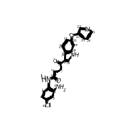 Nc1cc(Cl)ccc1NC(=O)CCC(=O)c1c[nH]c2cc(Oc3cccnc3)ccc12